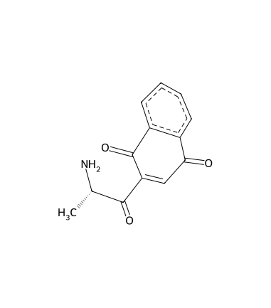 C[C@H](N)C(=O)C1=CC(=O)c2ccccc2C1=O